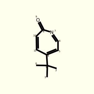 CC(C)(C)c1ccnc(=O)cc1